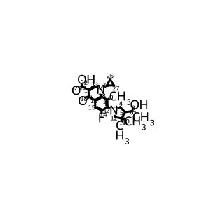 Cc1c(N2CC(C(C)O)C(C)(C)C2)c(F)cc2c(=O)c(C(=O)O)cn(C3CC3)c12